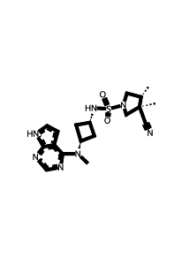 C[C@H]1CN(S(=O)(=O)N[C@H]2C[C@@H](N(C)c3ncnc4[nH]ccc34)C2)C[C@]1(C)C#N